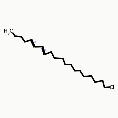 CCCC/C=C/C=C/CCCCCCCCCCCCCl